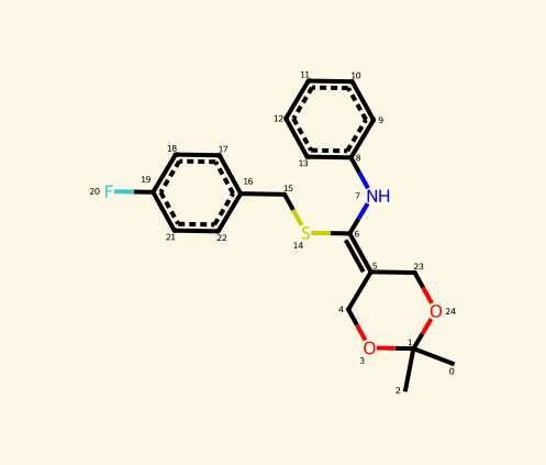 CC1(C)OCC(=C(Nc2ccccc2)SCc2ccc(F)cc2)CO1